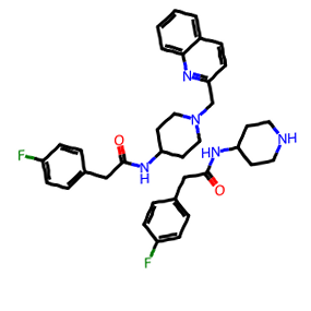 O=C(Cc1ccc(F)cc1)NC1CCN(Cc2ccc3ccccc3n2)CC1.O=C(Cc1ccc(F)cc1)NC1CCNCC1